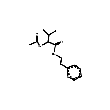 CC(=O)NC(C(=O)NCCc1ccccn1)C(C)C